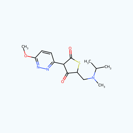 COc1ccc(C2C(=O)SC(CN(C)C(C)C)C2=O)nn1